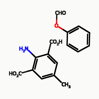 Cc1cc(C(=O)O)c(N)c(C(=O)O)c1.O=COc1ccccc1